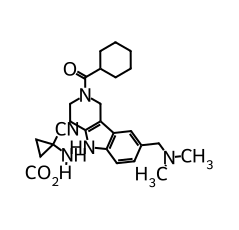 CN(C)Cc1ccc2[nH]c3c(c2c1)CN(C(=O)C1CCCCC1)CC3.N#CC1(NC(=O)O)CC1